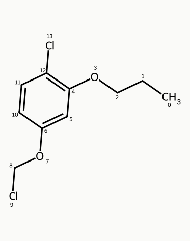 CCCOc1cc(OCCl)ccc1Cl